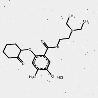 CCN(CC)CCNC(=O)c1cc(Cl)c(N)cc1OC1CCCCC1=O.Cl